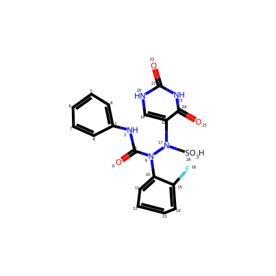 O=C(Nc1ccccc1)N(c1ccccc1F)N(c1c[nH]c(=O)[nH]c1=O)S(=O)(=O)O